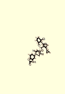 O=c1[nH]c2cc(N3C[C@@H]4C[C@H]3C[C@H]4OCc3c(-c4c(Cl)cccc4Cl)noc3C3CC3)ccc2o1